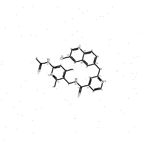 CC(=O)Nc1cc(C)c(CNC(=O)c2ccnc(Cc3ccc4ncc(Cl)cc4c3)c2)c(C)n1